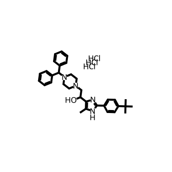 Cc1[nH]c(-c2ccc(C(C)(C)C)cc2)nc1C(O)CN1CCN(C(c2ccccc2)c2ccccc2)CC1.Cl.Cl.Cl